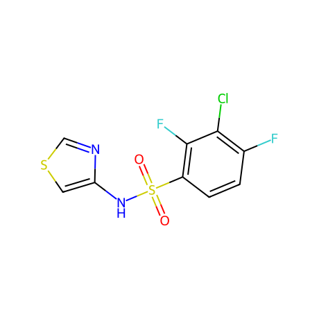 O=S(=O)(Nc1cscn1)c1ccc(F)c(Cl)c1F